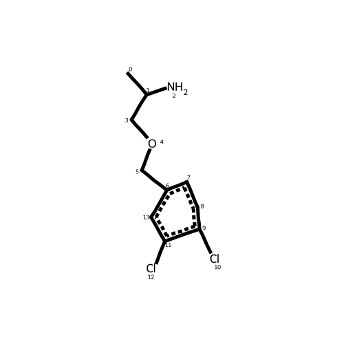 CC(N)COCc1ccc(Cl)c(Cl)c1